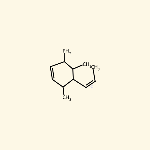 C/C=C\C1C(C)C=CC(P)C1C